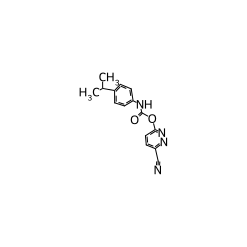 CC(C)c1ccc(NC(=O)Oc2ccc(C#N)nn2)cc1